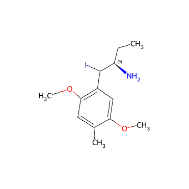 CC[C@@H](N)C(I)c1cc(OC)c(C)cc1OC